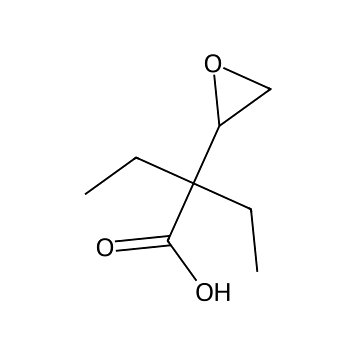 CCC(CC)(C(=O)O)C1CO1